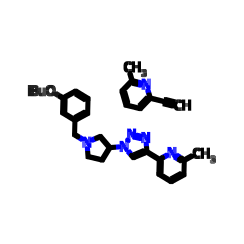 C#Cc1cccc(C)n1.Cc1cccc(-c2cn(C3CCN(Cc4cccc(OCC(C)C)c4)C3)nn2)n1